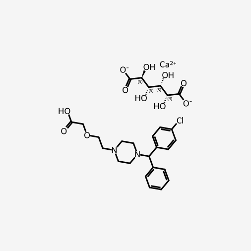 O=C(O)COCCN1CCN(C(c2ccccc2)c2ccc(Cl)cc2)CC1.O=C([O-])[C@@H](O)[C@@H](O)[C@H](O)[C@@H](O)C(=O)[O-].[Ca+2]